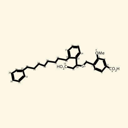 COc1cc(C(=O)O)ccc1CSC(CC(=O)O)c1ccccc1CCCCCCCCc1ccccc1